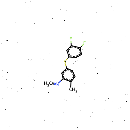 C=Nc1cc(Sc2ccc(F)c(F)c2)ccc1C